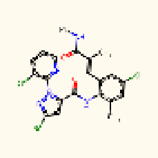 C/C(=C\c1cc(Cl)cc(C)c1NC(=O)c1cc(Br)nn1-c1ncccc1Cl)C(=O)NC(C)C